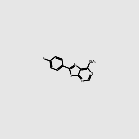 CSc1ncnc2sc(-c3ccc(F)cc3)nc12